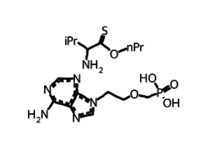 CCCOC(=S)C(N)C(C)C.Nc1ncnc2c1ncn2CCOCP(=O)(O)O